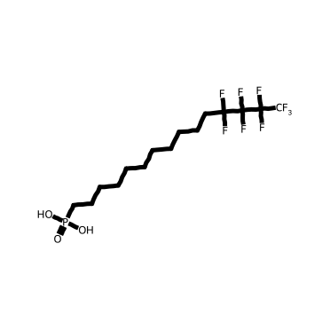 O=P(O)(O)CCCCCCCCCCCC(F)(F)C(F)(F)C(F)(F)C(F)(F)F